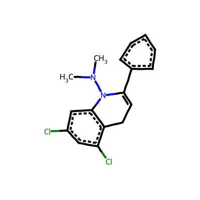 CN(C)N1C(c2ccccc2)=CCc2c(Cl)cc(Cl)cc21